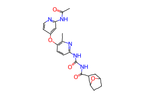 CC(=O)Nc1cc(Oc2ccc(NC(=O)NC(=O)C3CC4CCC3O4)nc2C)ccn1